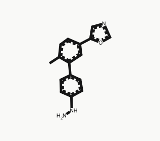 Cc1ccc(-c2cnco2)cc1-c1ccc(NN)cc1